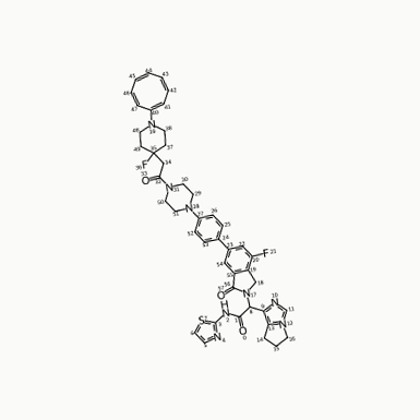 O=C(Nc1nccs1)C(c1ncn2c1CCC2)N1Cc2c(F)cc(-c3ccc(N4CCN(C(=O)CC5(F)CCN(C6=C/C=C\C=C/C=C\6)CC5)CC4)cc3)cc2C1=O